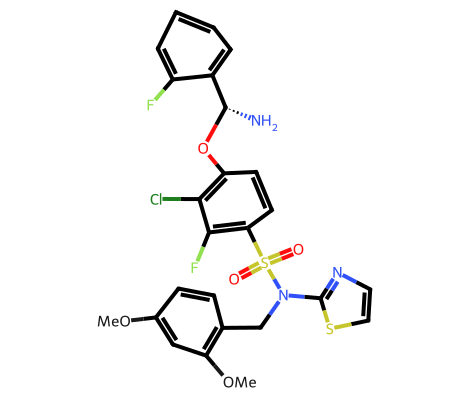 COc1ccc(CN(c2nccs2)S(=O)(=O)c2ccc(O[C@@H](N)c3ccccc3F)c(Cl)c2F)c(OC)c1